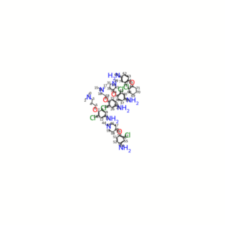 CN(C)CCCOc1ccc(N)cc1Cl.CN(C)CCOc1ccc(N)cc1Cl.CN1CCC(Oc2ccc(N)cc2Cl)C1.CN1CCC(Oc2ccc(N)cc2Cl)CC1.Nc1ccc(OC2CCCCC2)c(Cl)c1